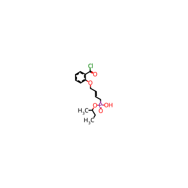 CCC(C)OP(=O)(O)CC=CCOc1ccccc1C(=O)Cl